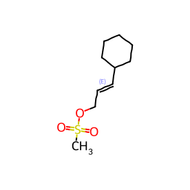 CS(=O)(=O)OC/C=C/C1CCCCC1